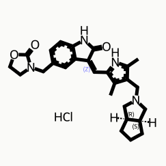 Cc1[nH]c(/C=C2\C(=O)Nc3ccc(CN4CCOC4=O)cc32)c(C)c1CN1C[C@H]2CCC[C@H]2C1.Cl